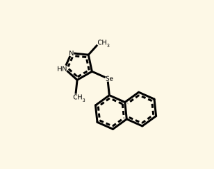 Cc1n[nH]c(C)c1[Se]c1cccc2ccccc12